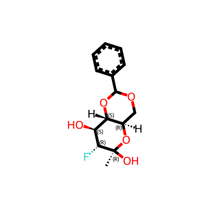 C[C@@]1(O)O[C@@H]2COC(c3ccccc3)O[C@H]2[C@H](O)[C@H]1F